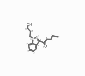 CCCCC(=O)c1nn(CCCO)c2ccccc12